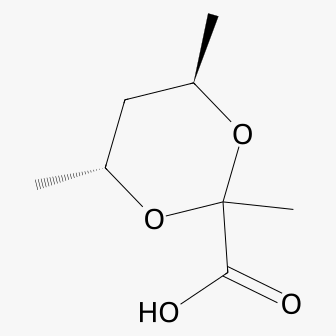 C[C@@H]1C[C@@H](C)OC(C)(C(=O)O)O1